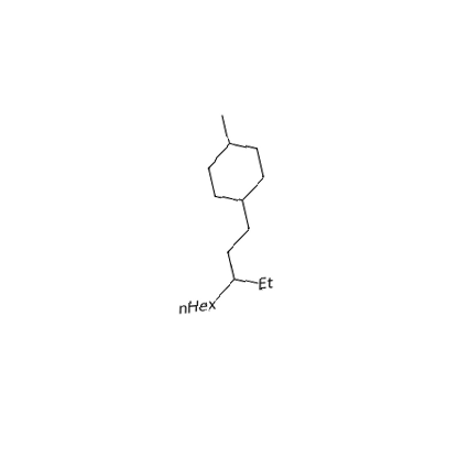 CCCCCCC(CC)CCC1CCC(C)CC1